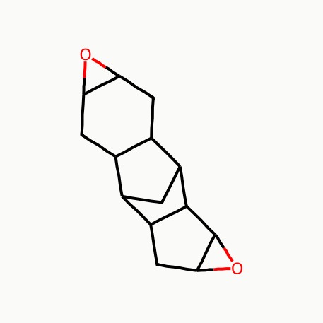 C1C2OC2CC2C1C1CC2C2C1CC1OC12